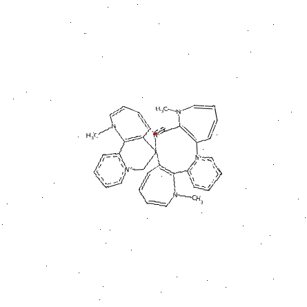 CN1C=CC=CC2=C1c1cccc[n+]1CC21C2=C(c3cccc[n+]3C3=C(c4cccc[n+]41)N(C)C=CC=C3)N(C)C=CC=C2